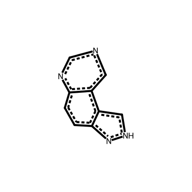 c1ncc2c(ccc3n[nH]cc32)n1